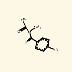 CCCC(=O)N(N)C(=O)c1ccc(Cl)cc1